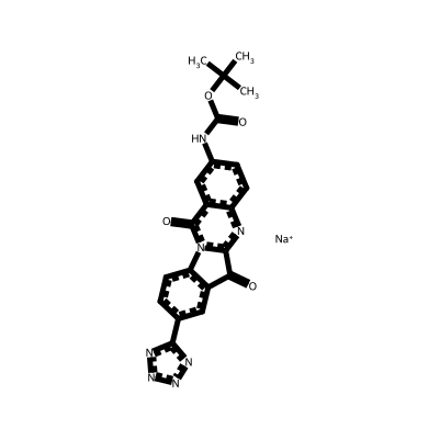 CC(C)(C)OC(=O)Nc1ccc2nc3n(c(=O)c2c1)-c1ccc(-c2nn[n-]n2)cc1C3=O.[Na+]